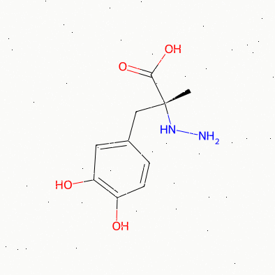 C[C@](Cc1ccc(O)c(O)c1)(NN)C(=O)O